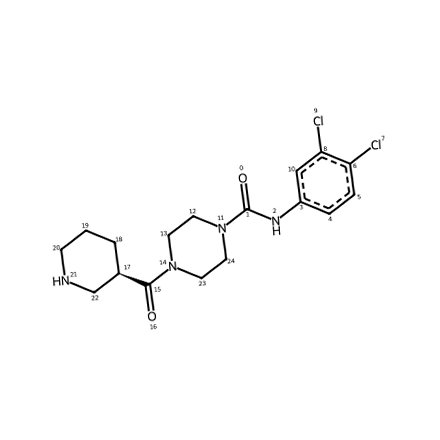 O=C(Nc1ccc(Cl)c(Cl)c1)N1CCN(C(=O)[C@@H]2CCCNC2)CC1